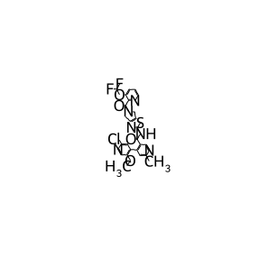 COc1cnc(Cl)cc1-c1cc(C)ncc1C(=O)Nc1nc2c(s1)CN(C(=O)c1ncccc1OC(F)F)C2